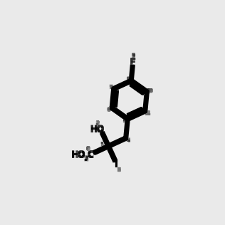 O=C(O)C(O)(I)Cc1ccc(F)cc1